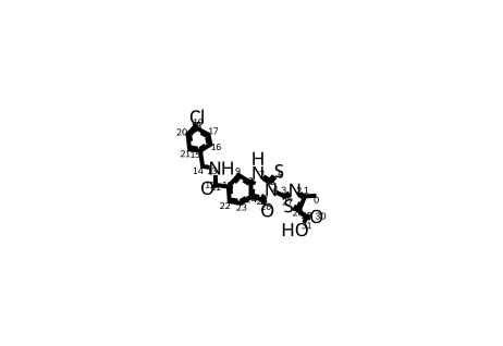 Cc1nc(-n2c(=S)[nH]c3cc(C(=O)NCc4ccc(Cl)cc4)ccc3c2=O)sc1C(=O)O